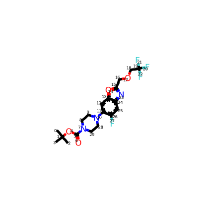 CC(C)(C)OC(=O)N1CCN(c2cc3oc(COCC(F)(F)F)nc3cc2F)CC1